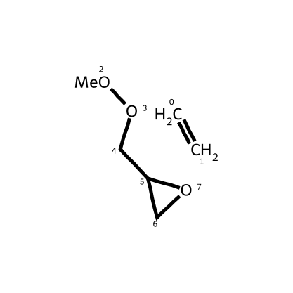 C=C.COOCC1CO1